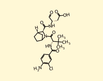 CC(C)(C)[C@H](NC(=O)c1ccc(N)c(Cl)c1)C(=O)N1C2CC[C@@H](C2)[C@H]1C(=O)N[C@H](C=O)CC(=O)O